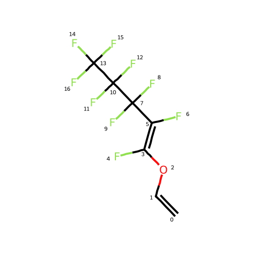 C=COC(F)=C(F)C(F)(F)C(F)(F)C(F)(F)F